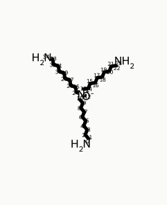 NCCCCCCCCCC[N+]([O-])(CCCCCCCCCCN)CCCCCCCCCCN